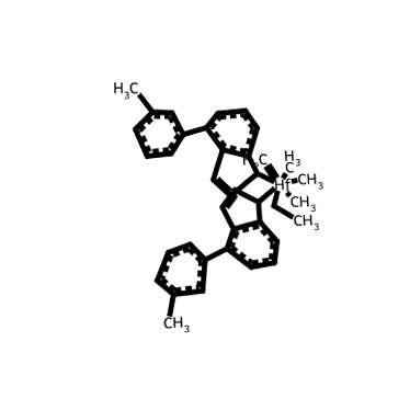 [CH2]=[Hf]([CH3])([CH3])([CH3])([CH2]C)([CH]1C=Cc2c(-c3cccc(C)c3)cccc21)[CH]1C=Cc2c(-c3cccc(C)c3)cccc21